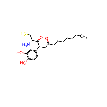 CCCCCCCC(=O)CC(C(=O)[C@H](N)CS)c1ccc(O)c(O)c1